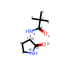 CC(C)(C)C(=O)N[C@H]1CCNC1=O